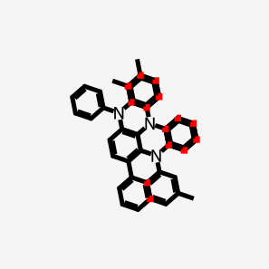 Cc1cccc(N(c2ccccc2)c2ccc(-c3ccccc3)c(N(c3ccccc3)c3cccc(C)c3)c2N(c2ccccc2)c2cccc(C)c2)c1